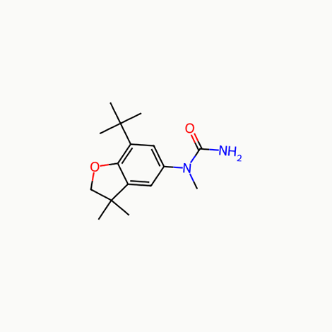 CN(C(N)=O)c1cc(C(C)(C)C)c2c(c1)C(C)(C)CO2